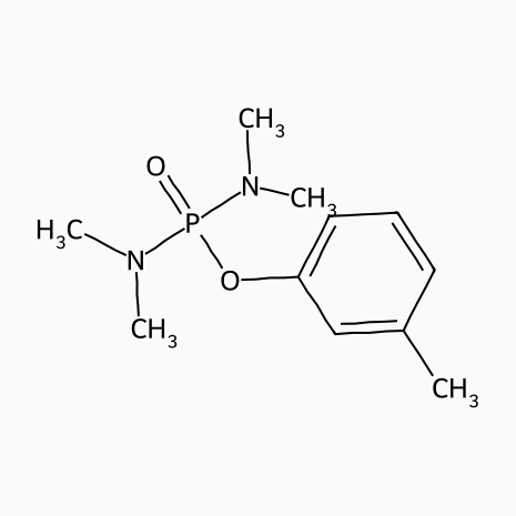 Cc1cccc(OP(=O)(N(C)C)N(C)C)c1